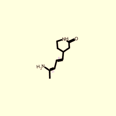 C/C(N)=C/C=C/C1CCNC(=O)C1